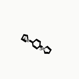 C1=C[Se](=C2C=CC(=[Se]3C=CC=C3)C=C2)C=C1